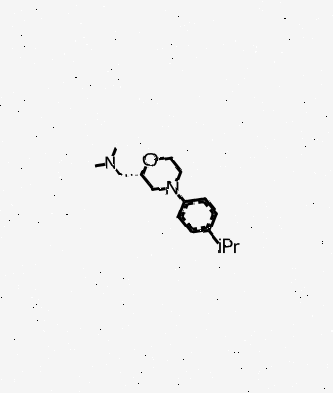 CC(C)c1ccc(N2CCO[C@@H](CN(C)C)C2)cc1